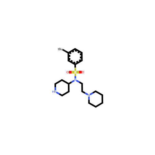 CC(C)(C)c1cccc(S(=O)(=O)N(CCN2CCCCC2)C2CCNCC2)c1